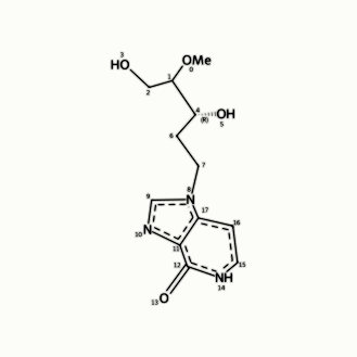 COC(CO)[C@H](O)CCn1cnc2c(=O)[nH]ccc21